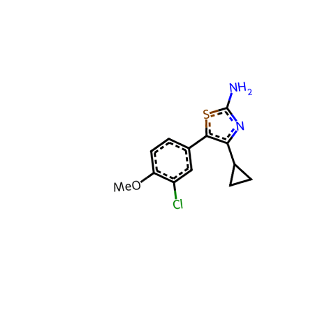 COc1ccc(-c2sc(N)nc2C2CC2)cc1Cl